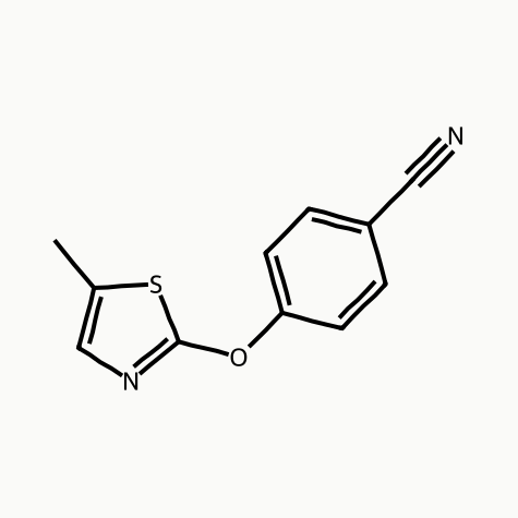 Cc1cnc(Oc2ccc(C#N)cc2)s1